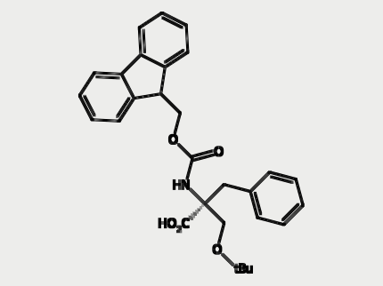 CC(C)(C)OC[C@](Cc1ccccc1)(NC(=O)OCC1c2ccccc2-c2ccccc21)C(=O)O